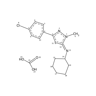 Cn1nc(-c2ccc(Cl)cc2)sc1=NC1CCCCC1.O=C(O)O